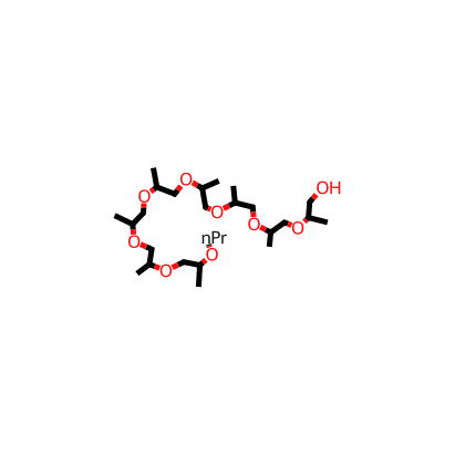 CCCOC(C)COC(C)COC(C)COC(C)COC(C)COC(C)COC(C)COC(C)CO